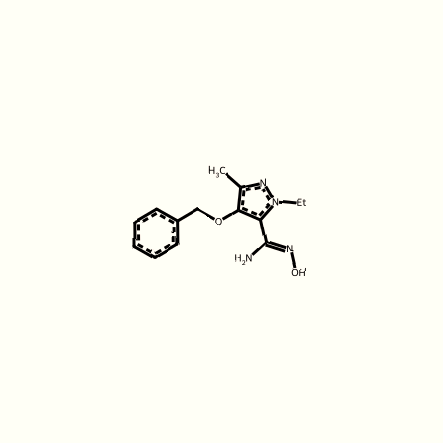 CCn1nc(C)c(OCc2ccccc2)c1C(N)=NO